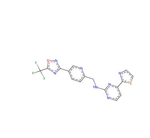 FC(F)(F)c1nc(-c2ccc(CNc3nccc(-c4nccs4)n3)nc2)no1